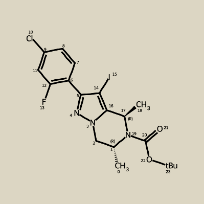 C[C@@H]1Cn2nc(-c3ccc(Cl)cc3F)c(I)c2[C@@H](C)N1C(=O)OC(C)(C)C